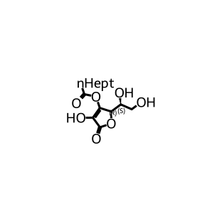 CCCCCCCC(=O)OC1=C(O)C(=O)O[C@@H]1[C@@H](O)CO